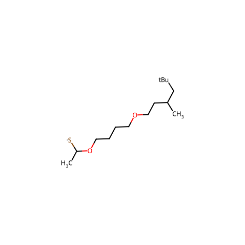 CC(CCOCCCCOC(C)[S])CC(C)(C)C